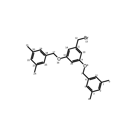 Cc1cc(C)cc(COc2cc(CBr)cc(OCc3cc(C)cc(C)c3)c2)c1